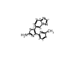 Cc1cccc(-c2nc(N)sc2-c2ccc3ncnn3c2)n1